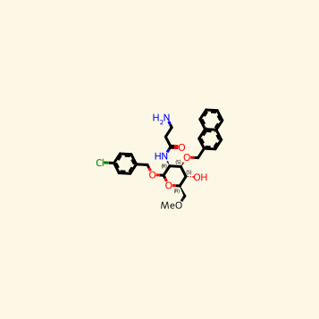 COC[C@H]1OC(OCc2ccc(Cl)cc2)[C@H](NC(=O)CCN)[C@H](OCc2ccc3ccccc3c2)[C@@H]1O